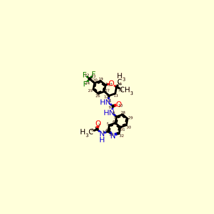 CC(=O)Nc1cc2c(NC(=O)NC3CC(C)(C)Oc4cc(C(F)(F)F)ccc43)cccc2cn1